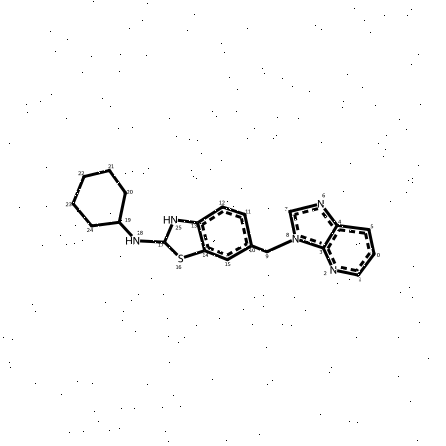 c1cnc2c(c1)ncn2Cc1ccc2c(c1)SC(NC1CCCCC1)N2